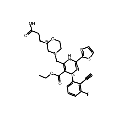 C#Cc1c(F)cccc1[C@@H]1N=C(c2nccs2)NC(CN2CCO[C@H](CCC(=O)O)C2)=C1C(=O)OCC